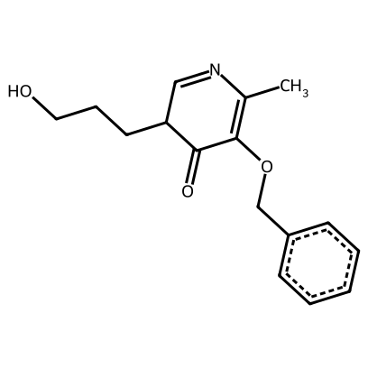 CC1=C(OCc2ccccc2)C(=O)C(CCCO)C=N1